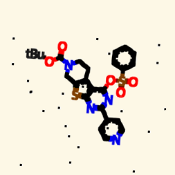 CC(C)(C)OC(=O)N1CCc2c(sc3nc(-c4ccncc4)nc(OS(=O)(=O)c4ccccc4)c23)C1